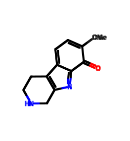 COC1=CC=C2C(=NC3=C2CCNC3)C1=O